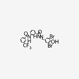 O=C(NN=Cc1cc(Br)c(O)c(Br)c1)c1cccc(NC(=O)c2cccc(C(F)(F)F)c2)c1